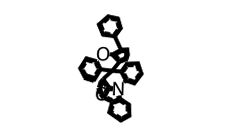 c1ccc2c(c#1)C1(c3ccccc3-n3c4ccccc4c4cccc1c43)c1cccc(-c3ccccc3)c1O2